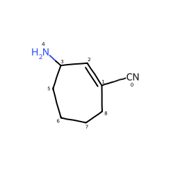 N#CC1=CC(N)CCCC1